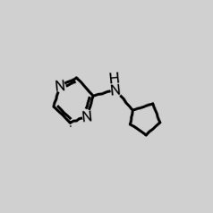 [c]1cncc(NC2CCCC2)n1